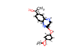 CC(C)Oc1ccc(Oc2cnc3cc(C(C)O)ccc3n2)cc1